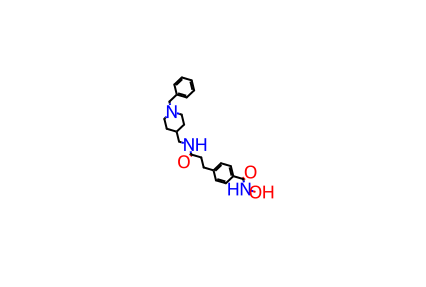 O=C(CCc1ccc(C(=O)NO)cc1)NCC1CCN(Cc2ccccc2)CC1